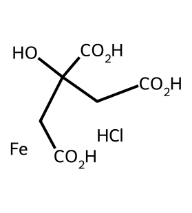 Cl.O=C(O)CC(O)(CC(=O)O)C(=O)O.[Fe]